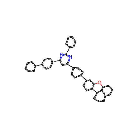 c1ccc(-c2ccc(-c3cc(-c4ccc(-c5ccc6c(c5)Oc5cccc7cccc-6c57)cc4)nc(-c4ccccc4)n3)cc2)cc1